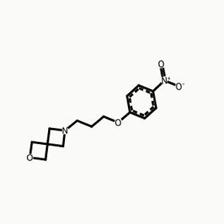 O=[N+]([O-])c1ccc(OCCCN2CC3(COC3)C2)cc1